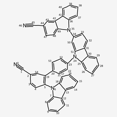 N#Cc1ccc(-n2c3ccccc3c3ccccc32)c(-c2ccc(-n3c4ccccc4c4ccc(-n5c6ccccc6c6cc(C#N)ccc65)cc43)cc2)c1